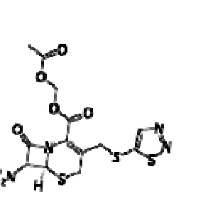 CC(=O)OCOC(=O)C1=C(CSc2cnns2)CS[C@H]2C(N)C(=O)N12